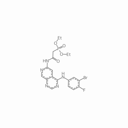 CCOP(=O)(CC(=O)Nc1cc2c(Nc3ccc(F)c(Br)c3)ncnc2cn1)OCC